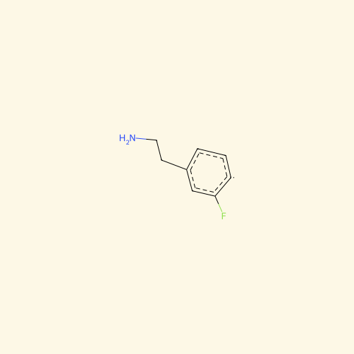 NCCc1cc[c]c(F)c1